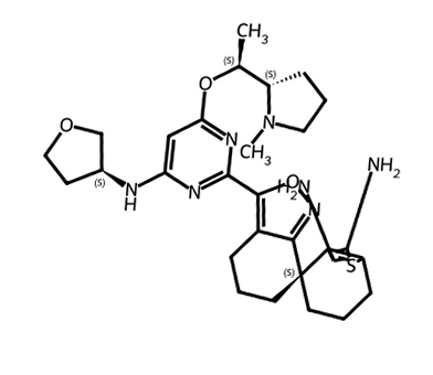 C[C@H](Oc1cc(N[C@H]2CCOC2)nc(-c2onc3c2CCC[C@@]32CCCc3sc(N)c(N)c32)n1)[C@@H]1CCCN1C